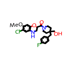 COc1cc2c(cc1Cl)NCC(C(=O)N1CCC(CO)(Cc3ccc(F)cc3)CC1)O2